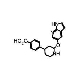 O=C(O)c1ccc(C2CCNC(Oc3cnc4[nH]ccc4c3)C2)cc1